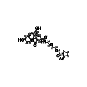 CC(=O)C1CCCN1C(=O)COCCOCCNC(=O)c1ccc2c(c1)C(=O)OC21c2ccc(O)cc2Oc2cc(O)ccc21